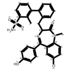 Cc1c(-c2ccccc2CC2N=C(c3ccc(O)cc3)c3cc(Cl)ccc3N(C)C2=O)cccc1S(N)(=O)=O